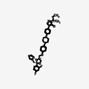 C[CH][C@H](C)n1ncn(-c2ccc(N3CCN(c4ccc(OC[C@H]5CO[C@@](Cn6cncn6)(c6ccc(F)cc6F)O5)cc4)CC3)cc2)c1=O